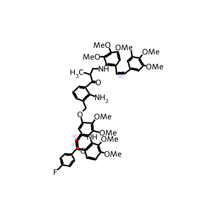 COc1cc(/C=C\c2ccc(OC)c(OC)c2NCC(C)C(=O)c2cccc(COc3cc(/C=C\c4ccc(OC)c(OC)c4N/C=C\C(=O)c4ccc(F)cc4)cc(OC)c3OC)c2N)cc(OC)c1OC